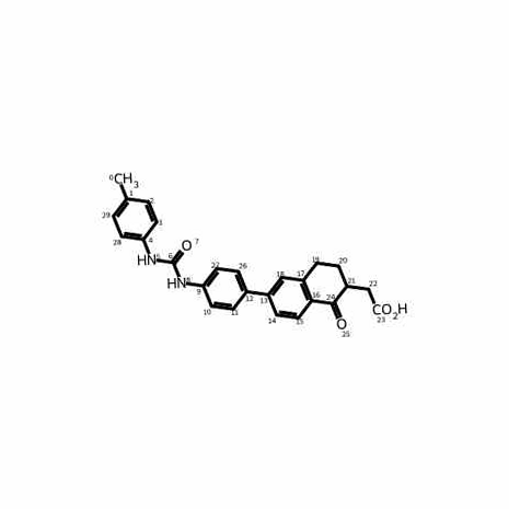 Cc1ccc(NC(=O)Nc2ccc(-c3ccc4c(c3)CCC(CC(=O)O)C4=O)cc2)cc1